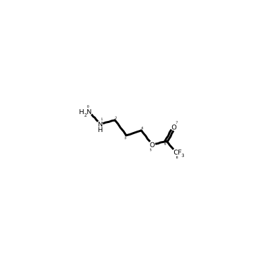 NNCCCOC(=O)C(F)(F)F